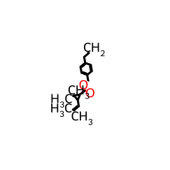 C=CCc1ccc(COC(=O)C2C(C=C(C)C)C2(C)C)cc1